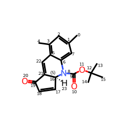 Cc1cc(C)c2c(c1)N(C(=O)OC(C)(C)C)[C@H]1C=CC(=O)C1=C2